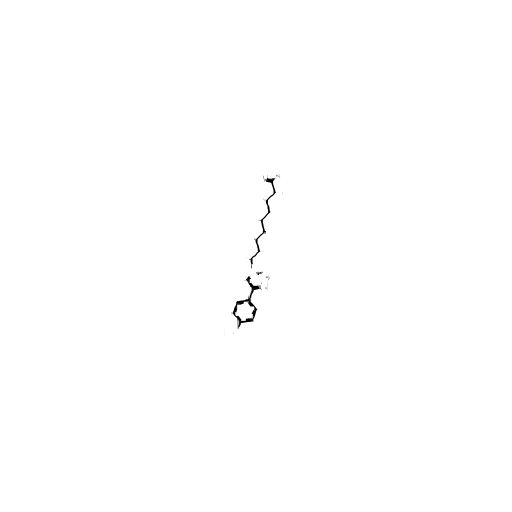 Cc1ccc(-c2cn(CCCCCCCCC(=O)O)nn2)cc1